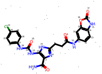 NC(=O)c1nc(CCC(=O)Nc2ccc3[nH]c(=O)oc3c2)[nH]c1NC(=O)Nc1ccc(Cl)cc1